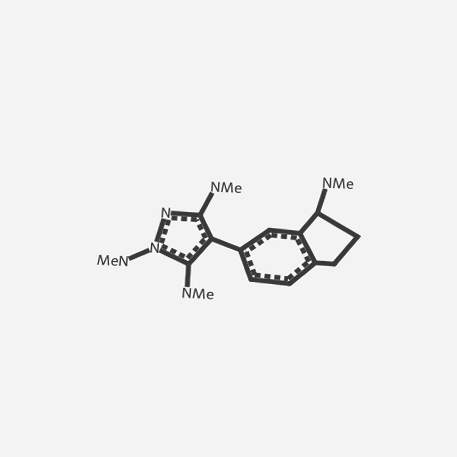 CNc1nn(NC)c(NC)c1-c1ccc2c(c1)C(NC)CC2